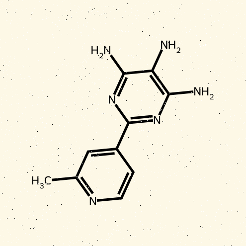 Cc1cc(-c2nc(N)c(N)c(N)n2)ccn1